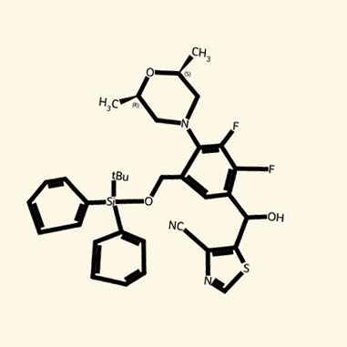 C[C@@H]1CN(c2c(CO[Si](c3ccccc3)(c3ccccc3)C(C)(C)C)cc(C(O)c3scnc3C#N)c(F)c2F)C[C@H](C)O1